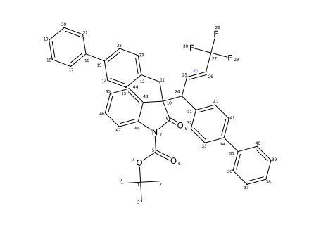 CC(C)(C)OC(=O)N1C(=O)C(Cc2ccc(-c3ccccc3)cc2)(C(/C=C/C(F)(F)F)c2ccc(-c3ccccc3)cc2)c2ccccc21